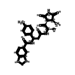 Cc1ccc(C(CC(=O)N[C@H](C(=O)[C@@H]2C(=O)NC(=O)[C@H]2C)C(C)C)NC(=O)c2ccc3c(c2)OCO3)cc1